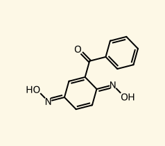 O=C(C1=CC(=NO)C=CC1=NO)c1ccccc1